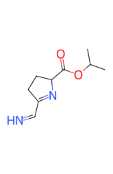 CC(C)OC(=O)C1CCC(C=N)=N1